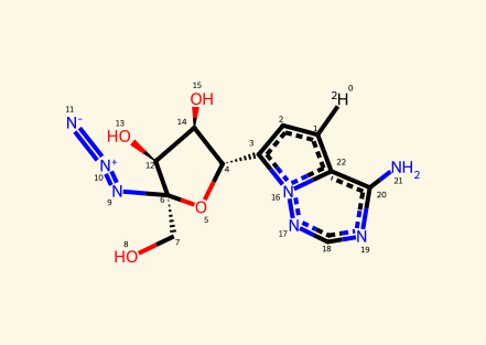 [2H]c1cc([C@@H]2O[C@@](CO)(N=[N+]=[N-])[C@@H](O)[C@H]2O)n2ncnc(N)c12